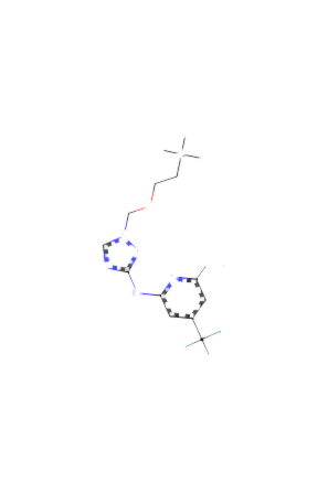 Cc1cc(C(F)(F)F)cc(Nc2ncn(COCC[Si](C)(C)C)n2)n1